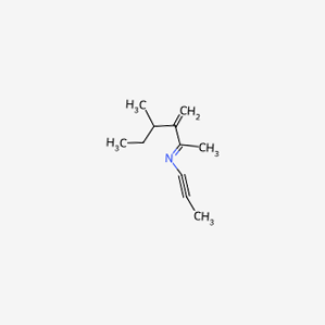 C=C(/C(C)=N/C#CC)C(C)CC